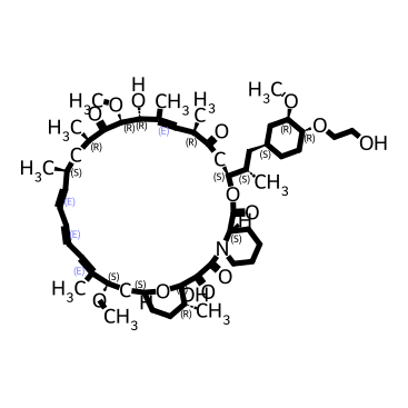 CO[C@H]1C[C@@H]2CC[C@@H](C)[C@@](O)(O2)C(=O)C(=O)N2CCCC[C@H]2C(=O)O[C@H]([C@@H](C)C[C@@H]2CC[C@@H](OCCO)[C@H](OC)C2)CC(=O)[C@H](C)/C=C(\C)[C@@H](O)[C@@H](OC)C(=O)[C@H](C)C[C@H](C)/C=C/C=C/C=C/1C